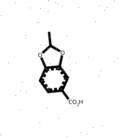 CC1Oc2ccc(C(=O)O)cc2O1